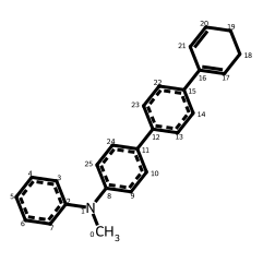 CN(c1ccccc1)c1ccc(-c2ccc(C3=CCCC=C3)cc2)cc1